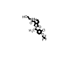 CC(c1ccc(OCC(F)(F)F)c(Cl)c1)N1Cc2c(ccnc2C(=O)NCCO)C1=O